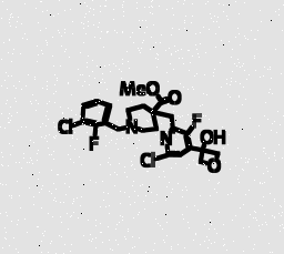 COC(=O)C1(Cc2nc(Cl)cc(C3(O)COC3)c2F)CCN(Cc2cccc(Cl)c2F)CC1